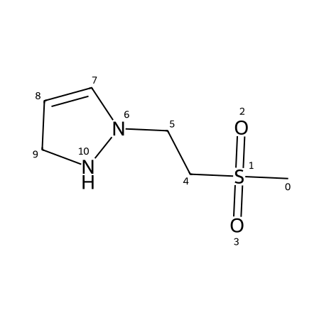 CS(=O)(=O)CCN1C=CCN1